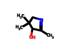 CC1=NCC(C)(C)C1O